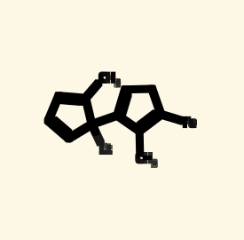 CCC1(C2=CC[C]([Fe])=C2C)C=CC=C1C